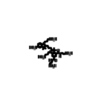 CC1(C)C(/C=C/C=C2/N(CCCS(=O)(=O)O)c3ccc(S(=O)(=O)O)cc3C2(C)C)=[N+](CCCS(=O)(=O)O)c2cc(C(=O)NCCS(=O)(=O)O)cc(C(=O)NCCS(=O)(=O)O)c21